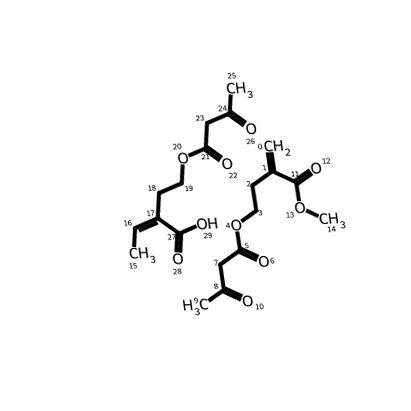 C=C(CCOC(=O)CC(C)=O)C(=O)OC.CC=C(CCOC(=O)CC(C)=O)C(=O)O